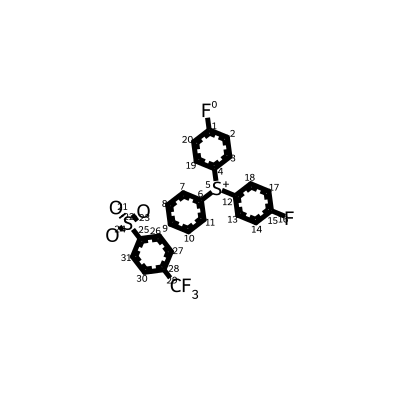 Fc1ccc([S+](c2ccccc2)c2ccc(F)cc2)cc1.O=S(=O)([O-])c1ccc(C(F)(F)F)cc1